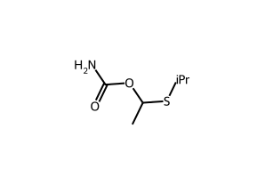 CC(C)SC(C)OC(N)=O